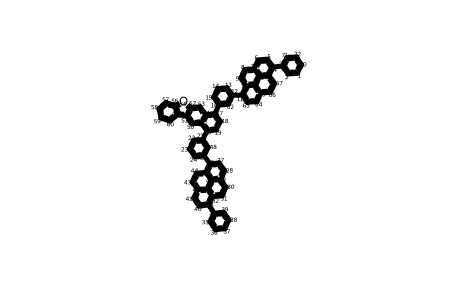 c1ccc(-c2ccc3ccc4c(-c5cccc(-c6ccc(-c7cccc(-c8ccc9ccc%10c(-c%11ccccc%11)ccc%11ccc8c9c%11%10)c7)c7cc8c(cc67)oc6ccccc68)c5)ccc5ccc2c3c54)cc1